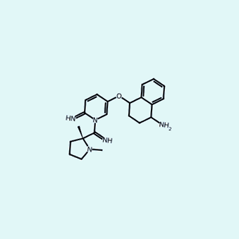 CN1CCC[C@]1(C)C(=N)n1cc(OC2CCC(N)c3ccccc32)ccc1=N